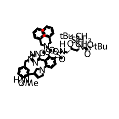 COc1ccc(Cn2nnc(-c3c(N4CC=C(CN)C4)ccc(S(=O)(=O)NC[C@@H](CNC(=O)OC(C)(C)C)O[Si](C)(C)C(C)(C)C)c3S(=O)(=O)N(Cc3ccccc3)Cc3ccccc3)n2)cc1